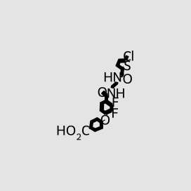 O=C(NCCNC(=O)C1CC=C(Cl)S1)c1ccc(O[C@H]2CC[C@@H](C(=O)O)CC2)c(F)c1F